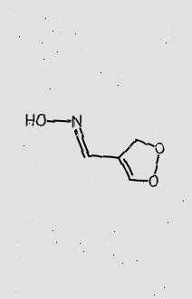 ON=CC1=COOC1